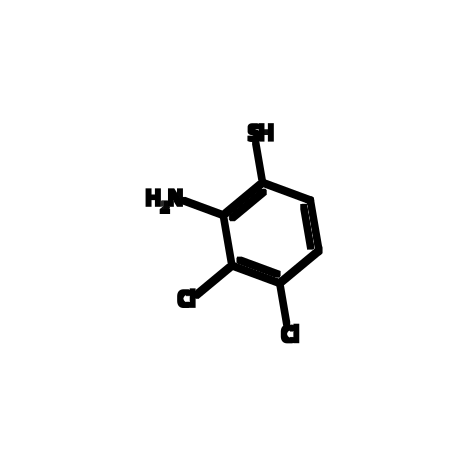 Nc1c(S)ccc(Cl)c1Cl